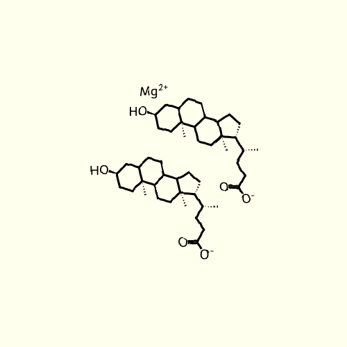 C[C@H](CCC(=O)[O-])[C@H]1CCC2C3CCC4C[C@H](O)CC[C@]4(C)C3CC[C@@]21C.C[C@H](CCC(=O)[O-])[C@H]1CCC2C3CCC4C[C@H](O)CC[C@]4(C)C3CC[C@@]21C.[Mg+2]